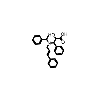 CC(c1ccccc1)N(CC=Cc1ccccc1)C(c1ccccc1)C(O)C(=O)O